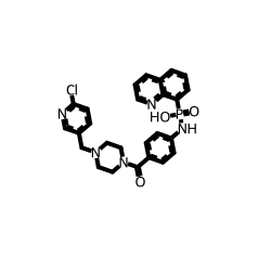 O=C(c1ccc(NP(=O)(O)c2cccc3cccnc23)cc1)N1CCN(Cc2ccc(Cl)nc2)CC1